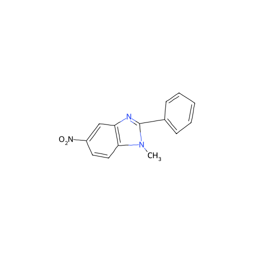 Cn1c(-c2ccccc2)nc2cc([N+](=O)[O-])ccc21